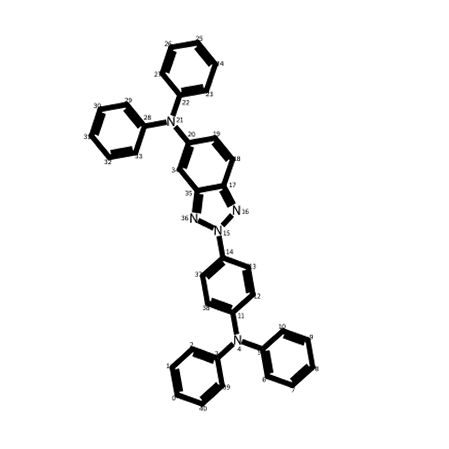 c1ccc(N(c2ccccc2)c2ccc(-n3nc4ccc(N(c5ccccc5)c5ccccc5)cc4n3)cc2)cc1